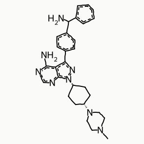 CN1CCN([C@H]2CC[C@@H](n3nc(-c4ccc(C(N)c5ccccc5)cc4)c4c(N)ncnc43)CC2)CC1